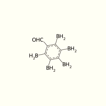 Bc1c(B)c(B)c(C=O)c(B)c1B